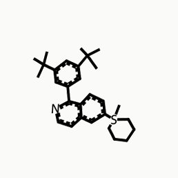 CC(C)(C)c1cc(-c2nccc3cc(S4(C)CCCCC4)ccc23)cc(C(C)(C)C)c1